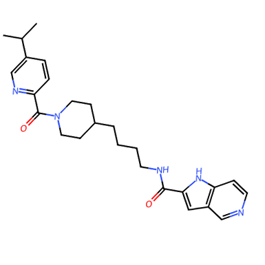 CC(C)c1ccc(C(=O)N2CCC(CCCCNC(=O)c3cc4cnccc4[nH]3)CC2)nc1